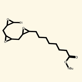 CCCCOC(=O)CCCCCCCC1OC1CC1OC1CC1OC1CC